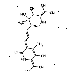 Cc1c(C#N)c(=C(C#N)C#N)[nH]c(=O)c1=CC=CC1=CNC(=C(C#N)C#N)C(C#N)C1(C)O